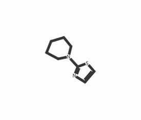 c1csc(N2CCCCC2)n1